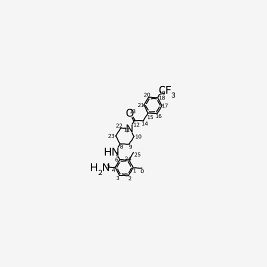 Cc1ccc(N)c(NC2CCN(C(=O)Cc3ccc(C(F)(F)F)cc3)CC2)c1C